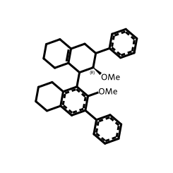 COc1c(-c2ccccc2)cc2c(c1C1C3=C(CCCC3)CC(c3ccccc3)[C@H]1OC)CCCC2